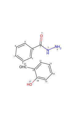 NNC(=O)c1ccccc1.O=Cc1ccccc1O